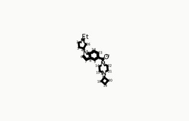 CCN1CCC(n2ccc3cc(C(=O)N4CCN(C5CCC5)CC4)ccc32)C1